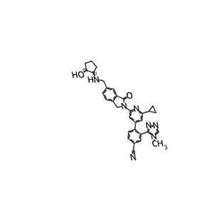 Cn1cnnc1-c1cc(C#N)ccc1-c1cc(C2CC2)nc(N2Cc3ccc(CN[C@@H]4CCC[C@@H]4O)cc3C2=O)c1